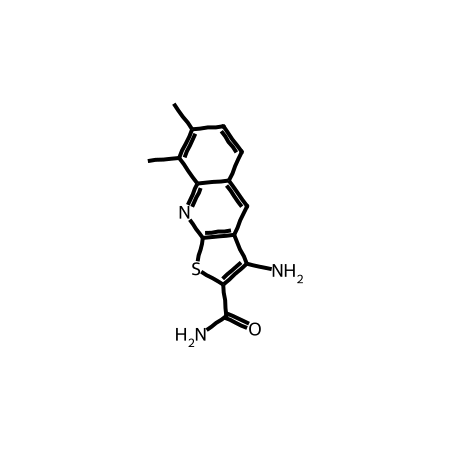 Cc1ccc2cc3c(N)c(C(N)=O)sc3nc2c1C